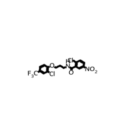 O=C(NCCCOc1ccc(C(F)(F)F)cc1Cl)c1cc([N+](=O)[O-])ccc1Cl